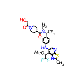 CO[C@H](c1c(Nc2ccc([C@H](N(C)C(=O)C3CCN(C(=O)CO)CC3)C(F)(F)F)cc2)cnc2sc(C)nc12)C(F)F